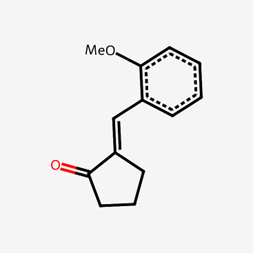 COc1ccccc1C=C1CCCC1=O